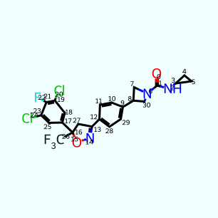 O=C(NC1CC1)N1CC(c2ccc(C3=NOC(c4cc(Cl)c(F)c(Cl)c4)(C(F)(F)F)C3)cc2)C1